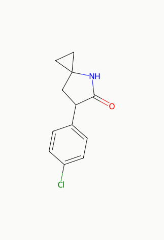 O=C1NC2(CC2)CC1c1ccc(Cl)cc1